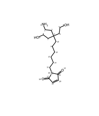 NCCC(CCO)(CCO)CCCCCCN1C(=O)C=CC1=O